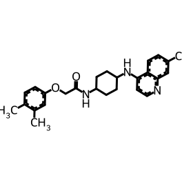 Cc1ccc(OCC(=O)NC2CCC(Nc3ccnc4cc(Cl)ccc34)CC2)cc1C